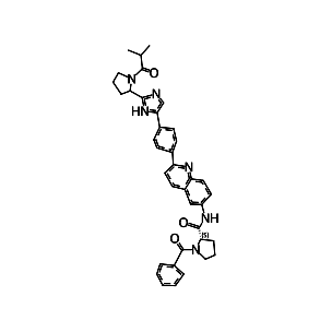 CC(C)C(=O)N1CCCC1c1ncc(-c2ccc(-c3ccc4cc(NC(=O)[C@@H]5CCCN5C(=O)c5ccccc5)ccc4n3)cc2)[nH]1